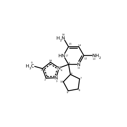 Cc1cnn(C2(C3CCCC3)N=C(N)C=C(N)N2)c1